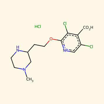 CN1CCNC(CCOc2ncc(Cl)c(C(=O)O)c2Cl)C1.Cl